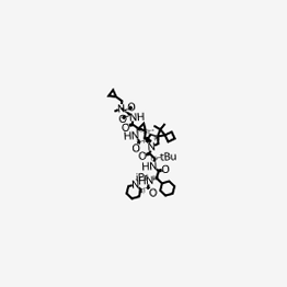 C=C[C@]1(C)C[C@]1(NC(=O)[C@@H]1C[C@@]2(CN1C(=O)[C@@H](NC(=O)[C@@H](NC(=O)[C@@H]1CCCCN1C(C)C)C1CCCCC1)C(C)(C)C)C(C)(C)C21CCC1)C(=O)NS(=O)(=O)N(C)CC1CC1